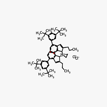 CCCC1=Cc2c(-c3cc(C(C)(C)C)cc(C(C)(C)C)c3)cccc2[CH]1[Zr+2]1([CH]2C(CCC)=Cc3c(-c4cc(C(C)(C)C)cc(C(C)(C)C)c4)cccc32)[CH2][CH2]1.[Cl-].[Cl-]